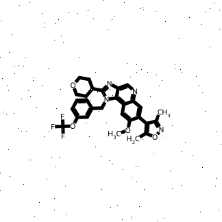 COc1cc2c(cc1-c1c(C)noc1C)ncc1nc(C3CCOCC3)n(Cc3cccc(OC(F)(F)F)c3)c12